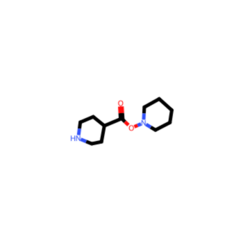 O=C(ON1CCCCC1)C1CCNCC1